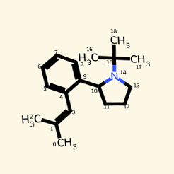 CC(C)=Cc1ccccc1C1CCCN1C(C)(C)C